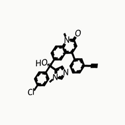 C#Cc1cccc(-c2cc(=O)n(C)c3ccc([C@@](O)(c4ccc(Cl)cc4)c4cncn4C)cc23)c1